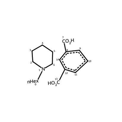 CCCCCCN1CCCCC1.O=C(O)c1cccc(C(=O)O)c1